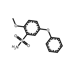 COc1ccc(Oc2ccccc2)cc1S(N)(=O)=O